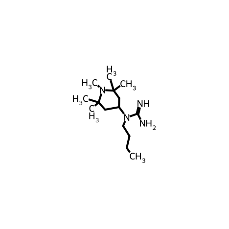 CCCCN(C(=N)N)C1CC(C)(C)N(C)C(C)(C)C1